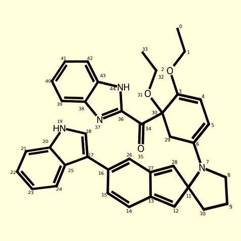 CCOC1=CC=C(N2CCCC23C=c2ccc(-c4c[nH]c5ccccc45)cc2=C3)CC1(OCC)C(=O)c1nc2ccccc2[nH]1